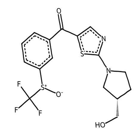 O=C(c1cccc([S+]([O-])C(F)(F)F)c1)c1cnc(N2CC[C@H](CO)C2)s1